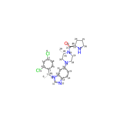 C[C@H](c1ccc(Cl)cc1Cl)n1cnc2ccc(N3CCN(C(=O)[C@H]4CCCN4)[C@@H](C)C3)cc21